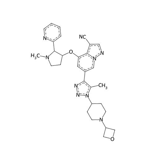 Cc1c(-c2cc(OC3CCN(C)C3c3ccccn3)c3c(C#N)cnn3c2)nnn1C1CCN(C2COC2)CC1